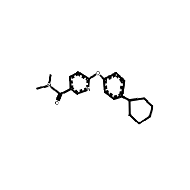 CN(C)C(=O)c1ccc(Oc2ccc(C3CCCCC3)cc2)nc1